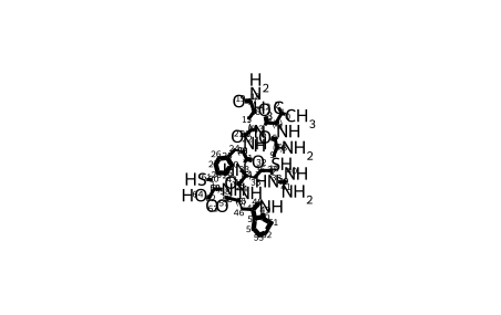 CC(C)[C@@H](NC(=O)[C@@H](N)CS)C(=O)N[C@@H](CCC(N)=O)C(=O)N[C@H](Cc1ccccc1)C(=O)N[C@@H](CCCNC(=N)N)C(=O)N[C@@H](Cc1c[nH]c2ccccc12)C(=O)N[C@@H](CS)C(=O)O